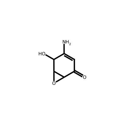 NC1=CC(=O)C2OC2C1O